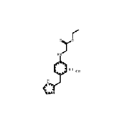 CCOC(=O)CNc1ccc(Cc2ncc[nH]2)cc1.Cl.Cl